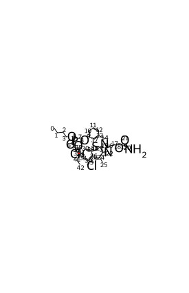 CCCCOP(=O)(COc1cccc(Cn2c(COC(N)=O)nc(C(C)C)c2Sc2cc(Cl)cc(Cl)c2)c1)OCCCC